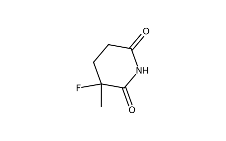 CC1(F)CCC(=O)NC1=O